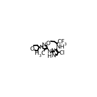 Cc1c2c(nn1C1CCOCC1)OCCC(C(F)(F)F)Nc1nc(ncc1Cl)N2